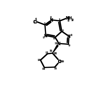 Nc1nc(Cl)nc2c1ncn2[C@@H]1CCCCO1